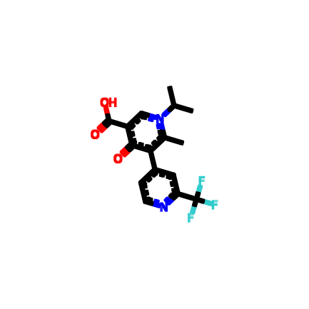 Cc1c(-c2ccnc(C(F)(F)F)c2)c(=O)c(C(=O)O)cn1C(C)C